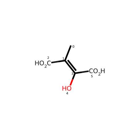 C/C(C(=O)O)=C(/O)C(=O)O